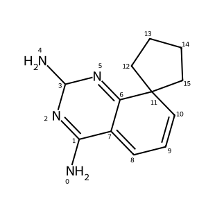 NC1=NC(N)N=C2C1=CC=CC21CCCC1